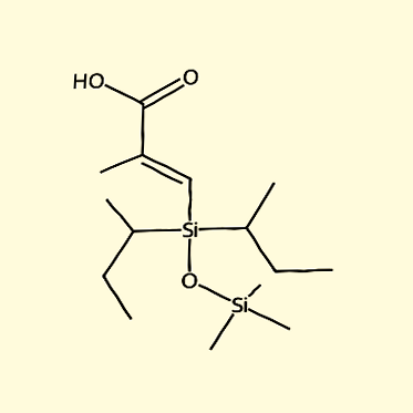 CCC(C)[Si](C=C(C)C(=O)O)(O[Si](C)(C)C)C(C)CC